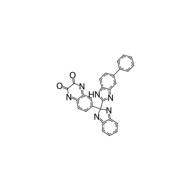 O=C1N=c2ccc(C3(c4nc5cc(-c6ccccc6)ccc5[nH]4)N=c4ccccc4=N3)cc2=NC1=O